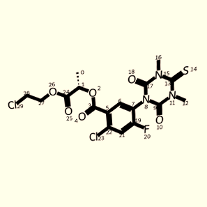 C[C@H](OC(=O)c1cc(-n2c(=O)n(C)c(=S)n(C)c2=O)c(F)cc1Cl)C(=O)OCCCl